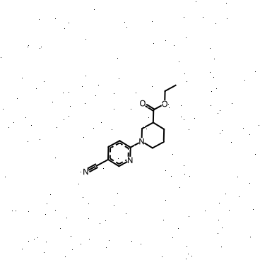 CCOC(=O)C1CCCN(c2ccc(C#N)cn2)C1